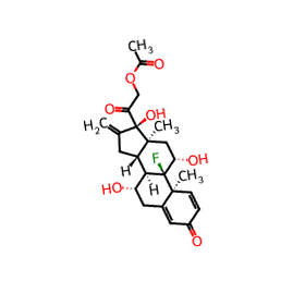 C=C1C[C@H]2[C@@H]3[C@@H](O)CC4=CC(=O)C=C[C@]4(C)[C@@]3(F)[C@@H](O)C[C@]2(C)[C@@]1(O)C(=O)COC(C)=O